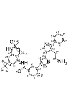 COc1c(NC(=O)c2ccc(C)c(-n3cc(-c4cnn(-c5ccccc5)c4CCN)nn3)c2)cc(C(C)(C)C)cc1NS(C)(=O)=O